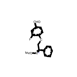 CO/N=C(\COc1ccc(C=O)cc1F)c1ccccc1